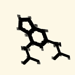 CC(C)Nc1nc(NC(C)C)c2cscc2n1